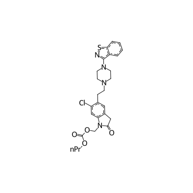 CCCOC(=O)OCN1C(=O)Cc2cc(CCN3CCN(c4nsc5ccccc45)CC3)c(Cl)cc21